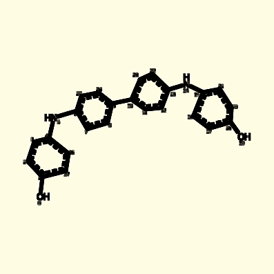 Oc1ccc(Nc2ccc(-c3ccc(Nc4ccc(O)cc4)cc3)cc2)cc1